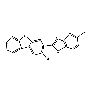 Cc1ccc2oc(-c3cc4oc5ccccc5c4cc3O)nc2c1